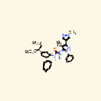 CCOC(=O)C(COC)[C@@H]1C[C@@H](NC(=O)Nc2c(C)c(-c3cnn(C)c3)nn2-c2ccccc2)[C@H](c2ccccc2)C1